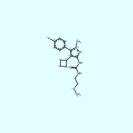 COCCNC(=O)Nc1nn(C)c(-c2ccc(F)cc2)c1C1CCC1